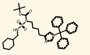 CC(C)(C)OC(=O)N(CCCCc1cn(C(c2ccccc2)(c2ccccc2)c2ccccc2)cn1)S(=O)(=O)NCC1CCCCC1